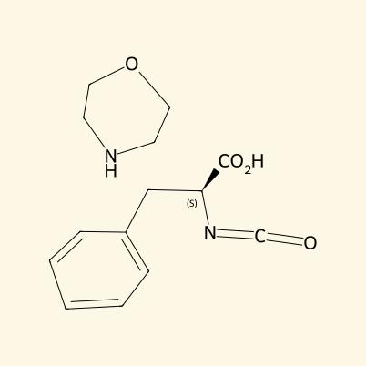 C1COCCN1.O=C=N[C@@H](Cc1ccccc1)C(=O)O